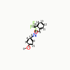 COc1ccc([C]=NOCc2ccccc2C(F)(F)F)cc1